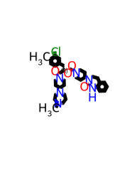 Cc1ccc(C[C@@H](OC(=O)N2CCC(N3CCc4ccccc4NC3=O)CC2)C(=O)N2CCC(N3CCCN(C)CC3)CC2)cc1Cl